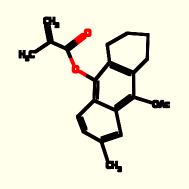 C=C(C)C(=O)Oc1c2c(c(OC(C)=O)c3cc(C)ccc13)CCCC2